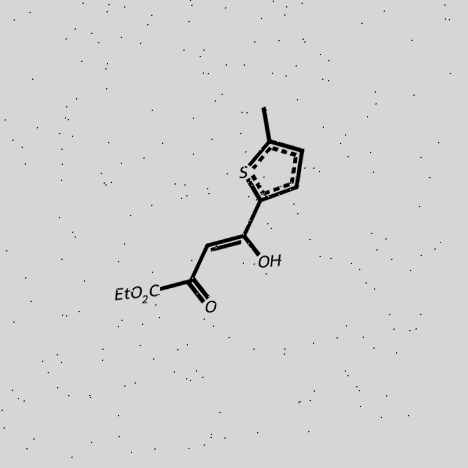 CCOC(=O)C(=O)C=C(O)c1ccc(C)s1